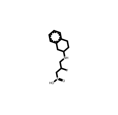 O=S(O)CC(F)CNC1CCc2ccccc2C1